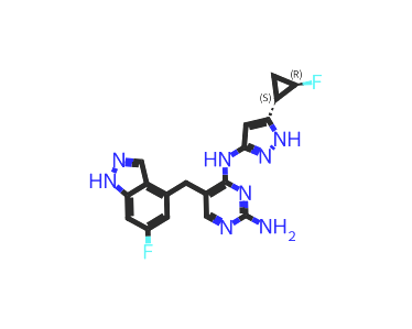 Nc1ncc(Cc2cc(F)cc3[nH]ncc23)c(Nc2cc([C@@H]3C[C@H]3F)[nH]n2)n1